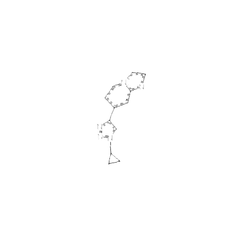 c1cn2ccc(-c3cn(C4CC4)nn3)cc2n1